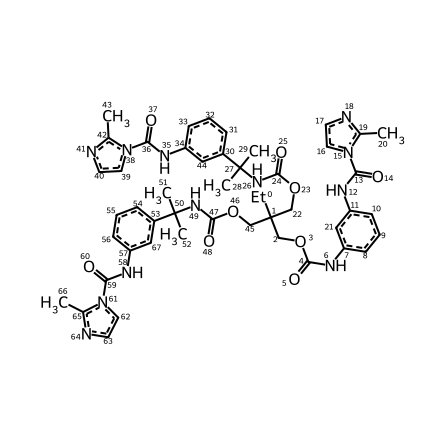 CCC(COC(=O)Nc1cccc(NC(=O)n2ccnc2C)c1)(COC(=O)NC(C)(C)c1cccc(NC(=O)n2ccnc2C)c1)COC(=O)NC(C)(C)c1cccc(NC(=O)n2ccnc2C)c1